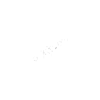 Cc1ccc(CCC(=O)Nc2c(Cl)n(CC#Cc3ccc(O)c(F)c3)c(=O)n(C)c2=O)cc1